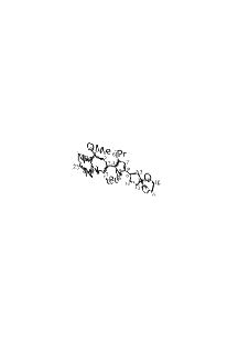 COc1cc(-c2c(C(C)C)cc(C3CCC4(C3)OCCO4)n2C(C)(C)C)cn2ncnc12